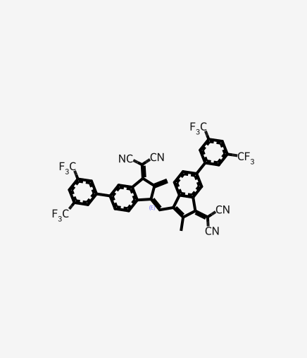 C=C1C(=C(C#N)C#N)c2cc(-c3cc(C(F)(F)F)cc(C(F)(F)F)c3)ccc2/C1=C/C1=C(C)C(=C(C#N)C#N)c2cc(-c3cc(C(F)(F)F)cc(C(F)(F)F)c3)ccc21